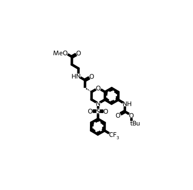 COC(=O)CCNC(=O)C[C@H]1CN(S(=O)(=O)c2cccc(C(F)(F)F)c2)c2cc(NC(=O)OC(C)(C)C)ccc2O1